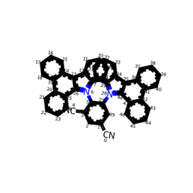 N#Cc1cc(C#N)c(-n2c3ccccc3c3c4ccccc4c4ccccc4c32)c(-n2c3ccccc3c3c4ccccc4c4ccccc4c32)c1